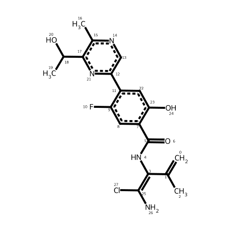 C=C(C)/C(NC(=O)c1cc(F)c(-c2cnc(C)c(C(C)O)n2)cc1O)=C(\N)Cl